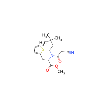 COC(=O)C(Cc1cccs1)N(CCC(C)(C)C)C(=O)CC#N